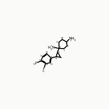 NC1CCC(N)(C2CC2c2ccc(F)c(F)c2)CC1